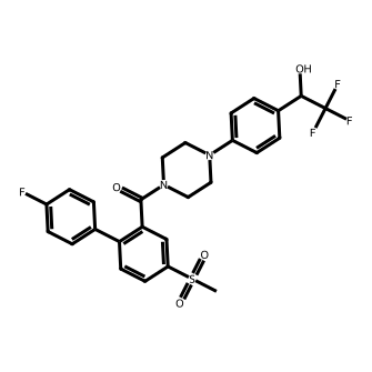 CS(=O)(=O)c1ccc(-c2ccc(F)cc2)c(C(=O)N2CCN(c3ccc(C(O)C(F)(F)F)cc3)CC2)c1